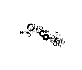 CC1(C)OB(c2ccc(CC(NC(=O)[C@@H]3CN(C(=O)O)CCCO3)C(N)=O)cc2)OC1(C)C